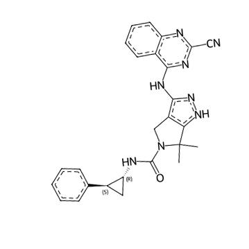 CC1(C)c2[nH]nc(Nc3nc(C#N)nc4ccccc34)c2CN1C(=O)N[C@@H]1C[C@H]1c1ccccc1